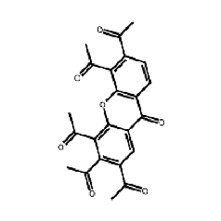 CC(=O)c1cc2c(=O)c3ccc(C(C)=O)c(C(C)=O)c3oc2c(C(C)=O)c1C(C)=O